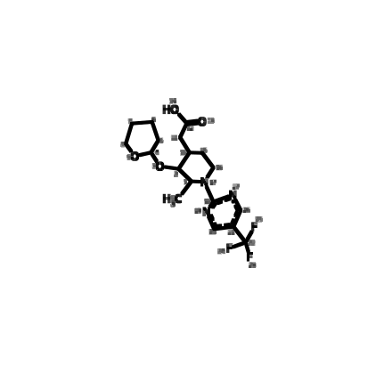 CC1C(OC2CCCCO2)C(CC(=O)O)CCN1c1ncc(C(F)(F)F)cn1